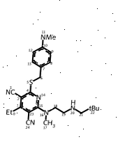 CCc1c(C#N)c(SCc2ccc(NC)cc2)nc(N(C)CCNCC(C)(C)C)c1C#N